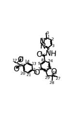 Cc1ccc(NC(=O)c2cc(Oc3ccc(S(C)(=O)=O)cc3)c3c(c2)OC(C)(C)C3)nn1